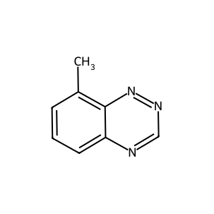 Cc1cccc2ncnnc12